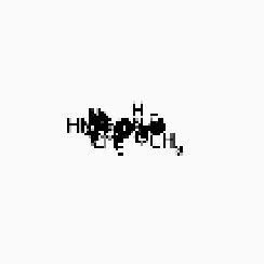 Cc1ccsc1C(=O)Nc1ccc(Oc2ccnc3[nH]cc(C)c23)c(F)c1